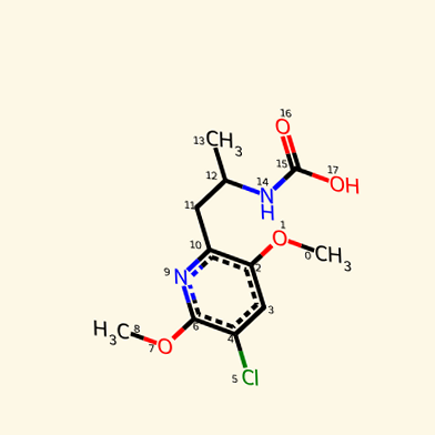 COc1cc(Cl)c(OC)nc1CC(C)NC(=O)O